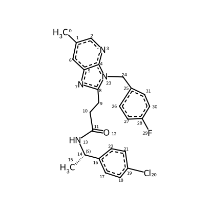 Cc1cnc2c(c1)nc(CCC(=O)N[C@@H](C)c1ccc(Cl)cc1)n2Cc1ccc(F)cc1